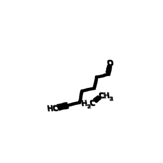 C#CCCCCC=O.C=C